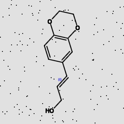 OC/C=C/c1ccc2c(c1)OCCO2